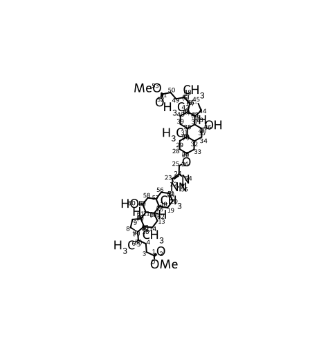 COC(=O)CC[C@@H](C)[C@H]1CC[C@@H]2C3[C@@H](CC[C@@]21C)[C@@]1(C)CC[C@H](n2cc(CO[C@@H]4CC[C@]5(C)C(C4)C[C@@H](O)C4C5CC[C@]5(C)[C@H]4CC[C@H]5[C@@H](C)CCC(=O)OC)nn2)CC1C[C@@H]3O